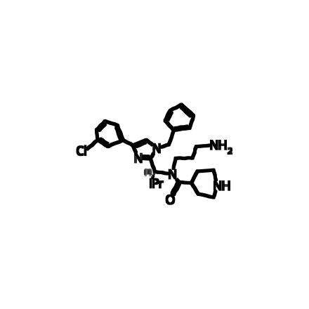 CC(C)[C@H](c1nc(-c2cccc(Cl)c2)cn1Cc1ccccc1)N(CCCN)C(=O)C1CCNCC1